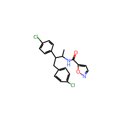 CC(NC(=O)c1ccno1)C(Cc1ccc(Cl)cc1)c1ccc(Cl)cc1